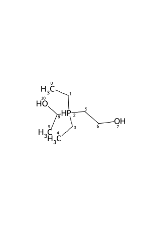 CC[PH](CC)(CCO)C(C)O